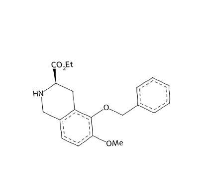 CCOC(=O)[C@H]1Cc2c(ccc(OC)c2OCc2ccccc2)CN1